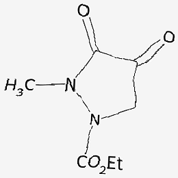 CCOC(=O)N1CC(=O)C(=O)N1C